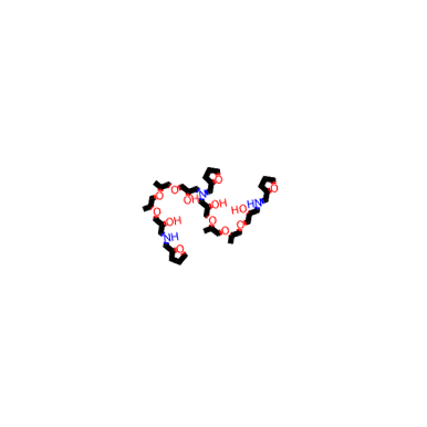 CC(COCC(O)CN(CC(O)COC(C)COC(C)COCC(O)CNCC1CCCO1)CC1CCCO1)OCC(C)OCC(O)CNCC1CCCO1